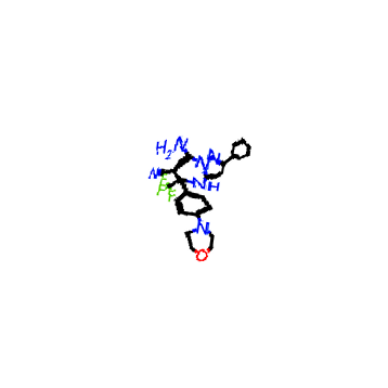 N#CC1=C(N)n2nc(-c3ccccc3)cc2NC1(c1ccc(N2CCOCC2)cc1)C(F)(F)F